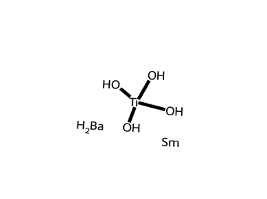 [BaH2].[OH][Ti]([OH])([OH])[OH].[Sm]